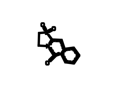 O=c1c2ccccc2cc2n1CCS2(=O)=O